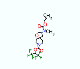 C=CCOC(=O)N(C)C1COC2(CCN(C(=O)OC(C(F)(F)F)C(F)(F)F)CC2)C1